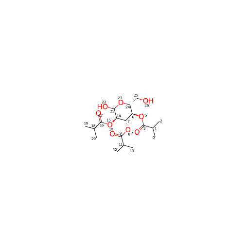 CC(C)C(=O)O[C@H]1[C@H](OC(=O)C(C)C)[C@@H](OC(=O)C(C)C)C(O)O[C@@H]1CO